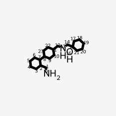 NCC1CCCCC1C1CCC(CNCC2(O)CCCCC2)CC1